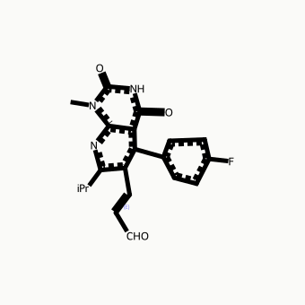 CC(C)c1nc2c(c(-c3ccc(F)cc3)c1/C=C/C=O)c(=O)[nH]c(=O)n2C